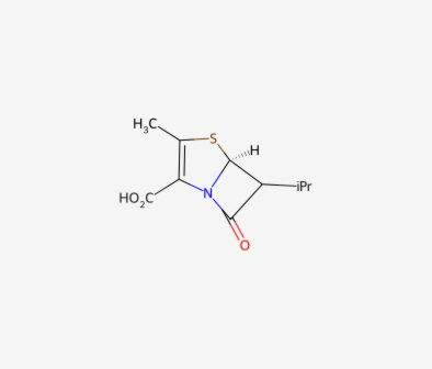 CC1=C(C(=O)O)N2C(=O)C(C(C)C)[C@@H]2S1